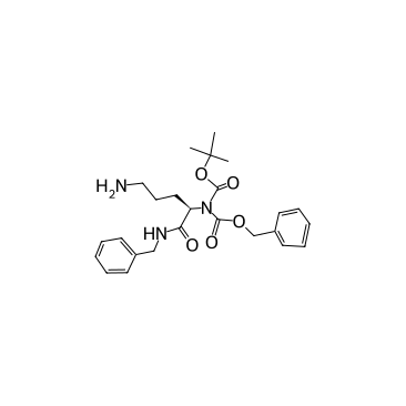 CC(C)(C)OC(=O)N(C(=O)OCc1ccccc1)[C@H](CCCN)C(=O)NCc1ccccc1